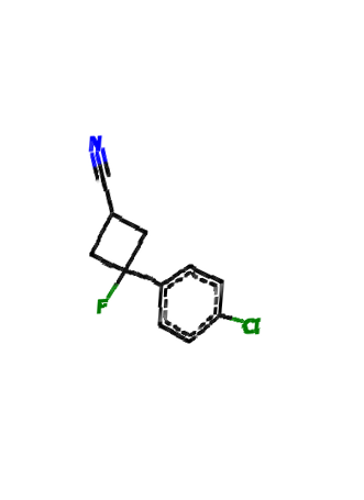 N#CC1CC(F)(c2ccc(Cl)cc2)C1